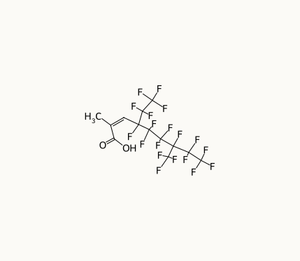 CC(=CC(F)(C(F)(F)C(F)(F)F)C(F)(F)C(F)(F)C(F)(C(F)(F)F)C(F)(F)C(F)(F)F)C(=O)O